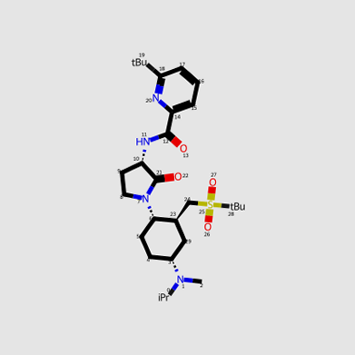 CC(C)N(C)[C@@H]1CC[C@H](N2CC[C@H](NC(=O)c3cccc(C(C)(C)C)n3)C2=O)[C@@H](CS(=O)(=O)C(C)(C)C)C1